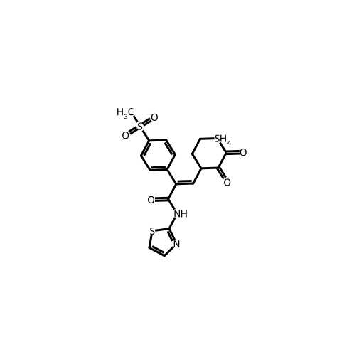 CS(=O)(=O)c1ccc(/C(=C\C2CC[SH4]C(=O)C2=O)C(=O)Nc2nccs2)cc1